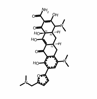 CN(C)Cc1ccc(-c2cc(N(C)C)c3c(c2O)C(=O)C2=C(O)[C@]4(O)C(=O)C(C(N)=O)=C(O)C(N(C)C)[C@H]4C[C@H]2C3)o1